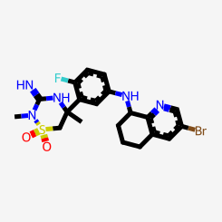 CN1C(=N)NC(C)(c2cc(NC3CCCc4cc(Br)cnc43)ccc2F)CS1(=O)=O